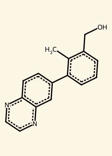 Cc1c(CO)cccc1-c1ccc2nccnc2c1